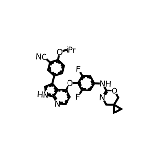 CC(C)Oc1ccc(-c2c[nH]c3nccc(Oc4c(F)cc(NC5=NCC6(CC6)CO5)cc4F)c23)cc1C#N